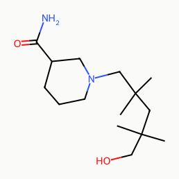 CC(C)(CO)CC(C)(C)CN1CCCC(C(N)=O)C1